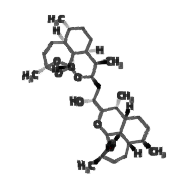 C[C@H]1[C@@H](C[C@@H](O)C2O[C@@H]3O[C@]4(C)CC[C@H]5[C@H](C)CC[C@@H]([C@H]2C)[C@@]35OO4)O[C@@H]2O[C@]3(C)CC[C@H]4[C@H](C)CC[C@@H]1[C@@]24OO3